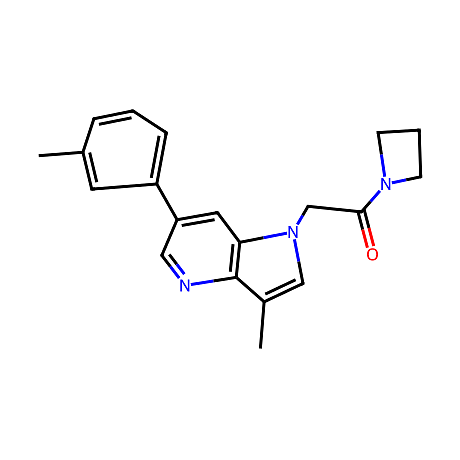 Cc1cccc(-c2cnc3c(C)cn(CC(=O)N4CCC4)c3c2)c1